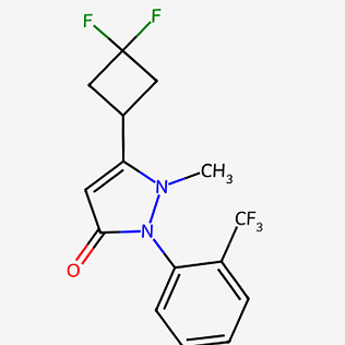 Cn1c(C2CC(F)(F)C2)cc(=O)n1-c1ccccc1C(F)(F)F